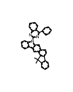 CC1(C)c2ccccc2-c2ccc3cc4c(cc3c21)c1ccccc1n4-c1nc(-c2ccccc2)c2ccccc2n1